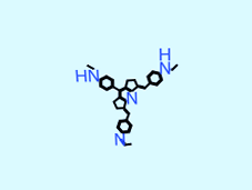 C/C=N\c1ccc(/C=C2\CCc3c2nc2c(c3-c3ccc(NCC)cc3)CC/C2=C\c2ccc(NCC)cc2)cc1